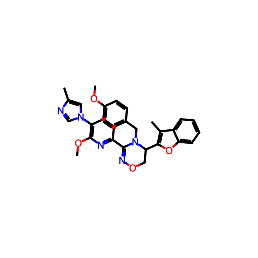 COc1ccc(CN2C(c3ccc(-n4cnc(C)c4)c(OC)n3)=NOCC2c2oc3ccccc3c2C)cc1